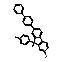 Cc1ccc(C2(C)c3cc(Br)ccc3-c3ccc(-c4ccc(-c5ccccc5)cc4)cc32)cc1